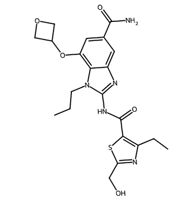 CCCn1c(NC(=O)c2sc(CO)nc2CC)nc2cc(C(N)=O)cc(OC3COC3)c21